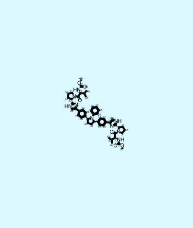 COC(=O)N[C@H](C(=O)N1CCC[C@H]1c1nc(-c2ccc([C@H]3CC[C@@H](c4ccc(-c5c[nH]c([C@@H]6CCCN6C(=O)[C@@H](NC(=O)OC)C(C)C)n5)cc4)N3c3ccccc3)cc2)c[nH]1)C(C)C